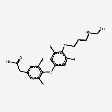 CCNCCCOc1c(I)cc(Oc2c(I)cc(CC(=O)O)cc2I)cc1I